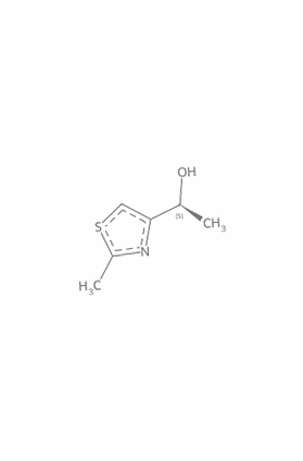 Cc1nc([C@H](C)O)cs1